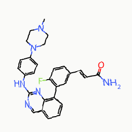 CN1CCN(c2ccc(Nc3ncc4cccc(-c5cc(C=CC(N)=O)ccc5F)c4n3)cc2)CC1